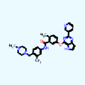 Cc1ccc(Oc2nc(-c3cccnc3)nc3cc[nH]c23)cc1C(=O)Nc1ccc(CN2CCN(C)CC2)c(C(F)(F)F)c1